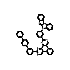 c1ccc(-c2ccc(-c3cccc(-c4ncc5c6ccccc6c6cnc(-c7cccc(-n8c9ccccc9n9c%10ccccc%10nc89)c7)nc6c5n4)c3)cc2)cc1